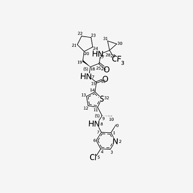 Cc1ncc(Cl)cc1N[C@@H](C)c1ccc(C(=O)N[C@@H](CC2CCCC2)C(=O)NC2(C(F)(F)F)CC2)s1